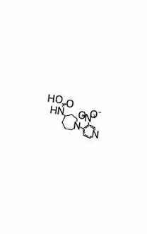 O=C(O)NC1CCCN(c2ccncc2[N+](=O)[O-])CC1